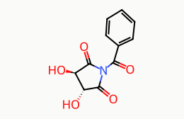 O=C(c1ccccc1)N1C(=O)[C@H](O)[C@@H](O)C1=O